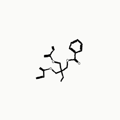 C=CC(=C)OCC(CC)(COC(=C)C=C)COC(=O)c1ccccc1